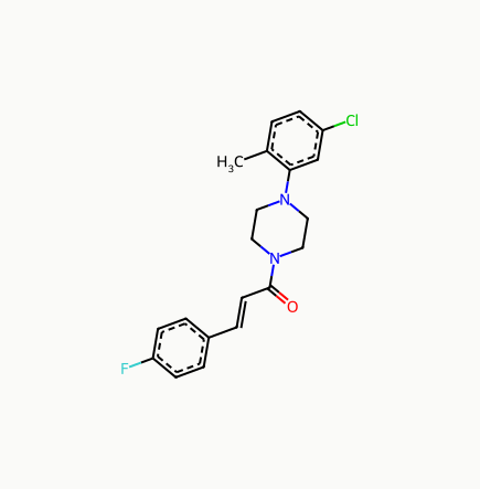 Cc1ccc(Cl)cc1N1CCN(C(=O)/C=C/c2ccc(F)cc2)CC1